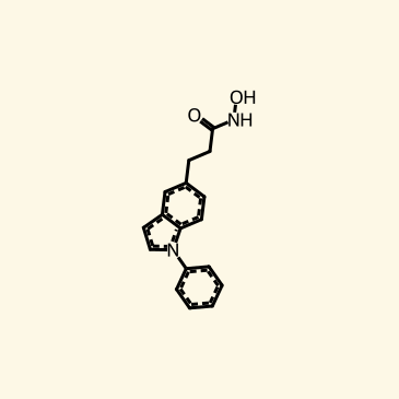 O=C(CCc1ccc2c(ccn2-c2ccccc2)c1)NO